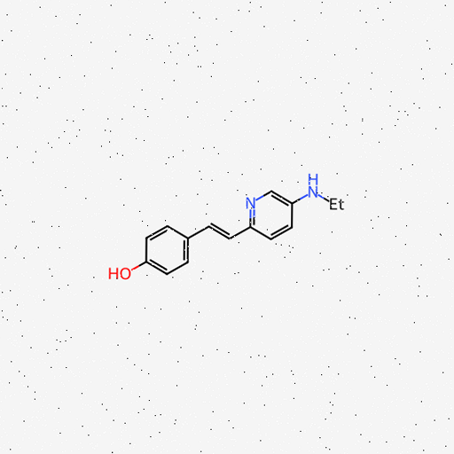 CCNc1ccc(/C=C/c2ccc(O)cc2)nc1